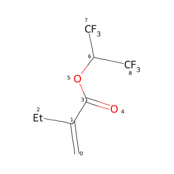 C=C(CC)C(=O)OC(C(F)(F)F)C(F)(F)F